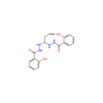 CCCCCCCCCCCC(NNC(=O)c1ccccc1O)NNC(=O)c1ccccc1O